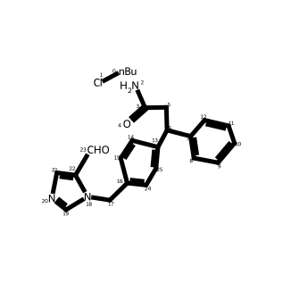 CCCCCl.NC(=O)CC(c1ccccc1)c1ccc(Cn2cncc2C=O)cc1